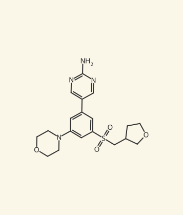 Nc1ncc(-c2cc(N3CCOCC3)cc(S(=O)(=O)CC3CCOC3)c2)cn1